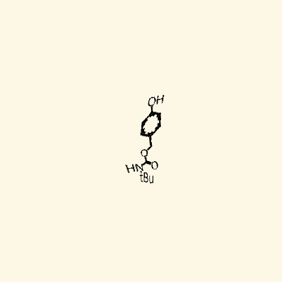 CC(C)(C)NC(=O)OCc1ccc(O)cc1